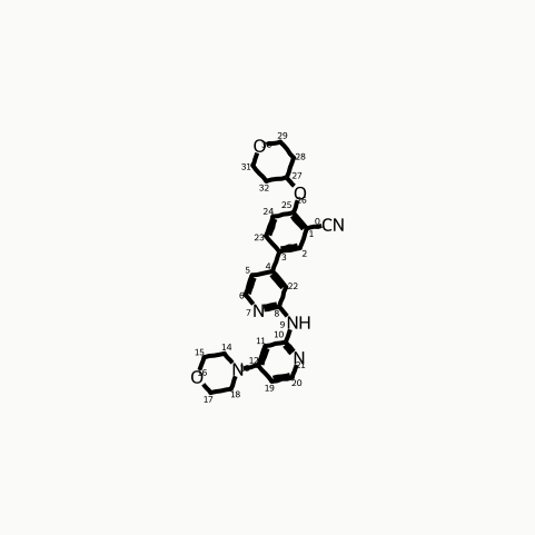 N#Cc1cc(-c2ccnc(Nc3cc(N4CCOCC4)ccn3)c2)ccc1OC1CCOCC1